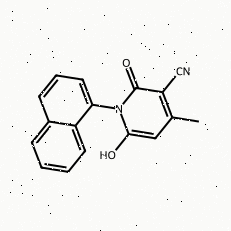 Cc1cc(O)n(-c2cccc3ccccc23)c(=O)c1C#N